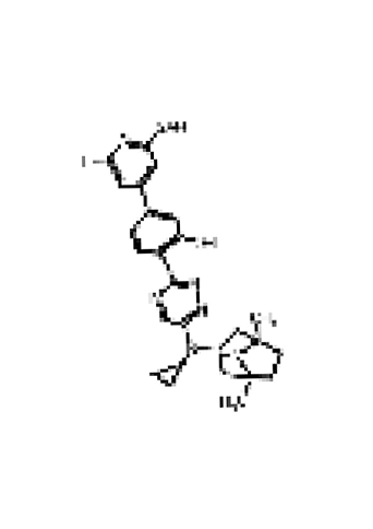 CSc1cc(-c2ccc(-c3ncc(N(C4CC4)[C@H]4C[C@]5(C)CC[C@](C)(C4)N5)nn3)c(O)c2)cc(F)n1